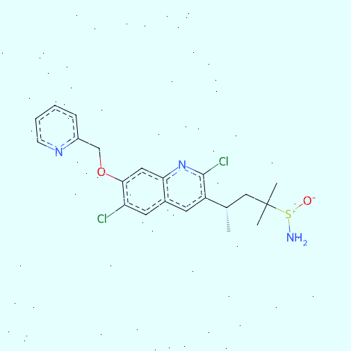 C[C@@H](CC(C)(C)[S+](N)[O-])c1cc2cc(Cl)c(OCc3ccccn3)cc2nc1Cl